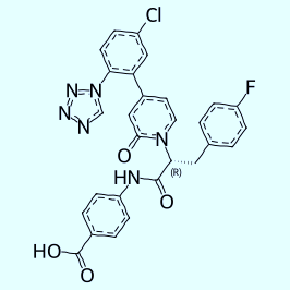 O=C(O)c1ccc(NC(=O)[C@@H](Cc2ccc(F)cc2)n2ccc(-c3cc(Cl)ccc3-n3cnnn3)cc2=O)cc1